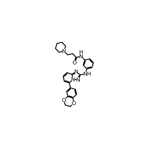 O=C(CCN1CCCCC1)Nc1cccc(Nc2nc3cccc(-c4ccc5c(c4)OCCO5)n3n2)c1